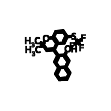 CC1(C)C=C(c2cc3ccccc3cc2O)c2cc(SC(F)(F)F)ccc2O1